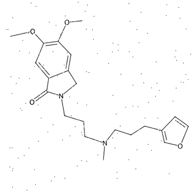 COc1cc2c(cc1OC)C(=O)N(CCCN(C)CCCc1ccoc1)C2